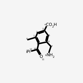 Cc1cc(C(=O)O)cc(CN)c1C(=O)C(C)C